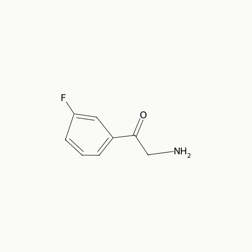 NCC(=O)c1cccc(F)c1